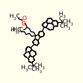 C=CC(=O)OCC(CC)CCCC1(CCCCCC)c2cc(-c3ccc4ccc5cc(C(C)(C)C)cc6ccc3c4c56)ccc2-c2ccc(-c3ccc4ccc5cc(C(C)(C)C)cc6ccc3c4c56)cc21